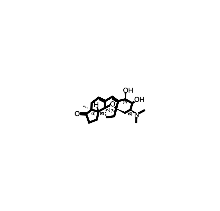 CN(C)[C@H]1C[C@@]23CC[C@@]4(O2)C(=CC[C@]2(C)C(=O)CC[C@H]24)C=C3[C@@H](O)C1O